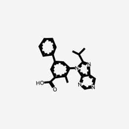 Cc1c(C(=O)O)cc(-c2ccccc2)cc1-n1c(C(C)C)nc2cncnc21